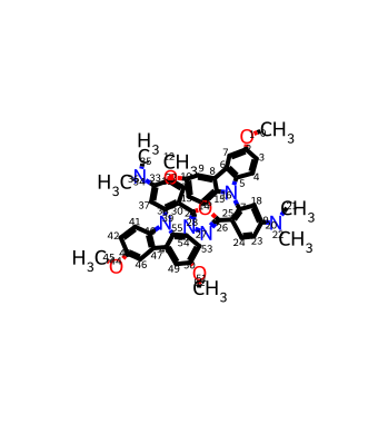 COc1ccc2c(c1)c1cc(OC)ccc1n2-c1cc(N(C)C)ccc1-c1nnc(-c2ccc(N(C)C)cc2-n2c3ccc(OC)cc3c3cc(OC)ccc32)o1